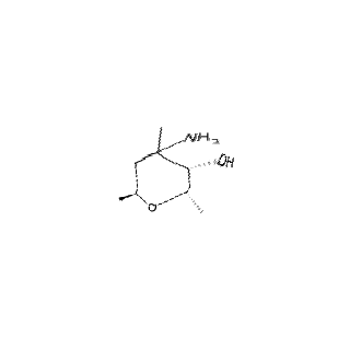 C[C@@H]1O[C@@H](C)CC(C)(N)[C@@H]1O